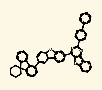 C1=CC2Oc3cc(-c4nc(-c5ccc(-c6ccccc6)cc5)nc5c4sc4ccccc45)ccc3C2C=C1c1cccc2c1-c1ccccc1C21CCCCC1